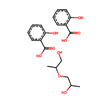 CC(O)COC(C)CO.O=C(O)c1ccccc1O.O=C(O)c1ccccc1O